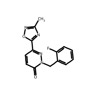 Cc1noc(-c2ccc(=O)n(Cc3ccccc3F)n2)n1